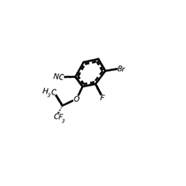 C[C@H](Oc1c(C#N)ccc(Br)c1F)C(F)(F)F